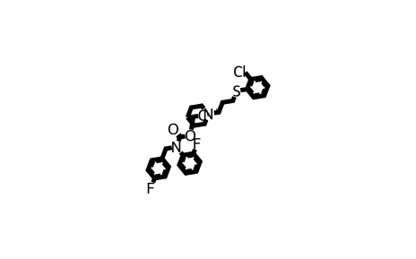 O=C(OC1C[N+]2(CCCSc3ccccc3Cl)CCC1CC2)N(Cc1ccc(F)cc1)c1ccccc1F